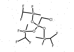 C[Si](F)(O[Si](CCl)(O[Si](C)(F)C(F)F)O[Si](C)(F)C(F)F)C(F)F